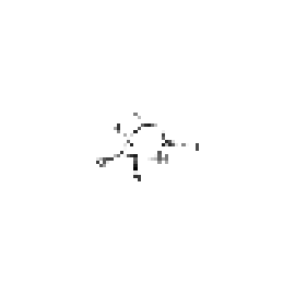 CC1CC(=N)N[C@@H]2[C@@H](Cl)[C@@H]12